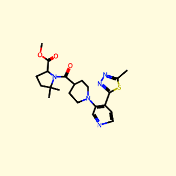 COC(=O)C1CCC(C)(C)N1C(=O)C1CCN(c2cnccc2-c2nnc(C)s2)CC1